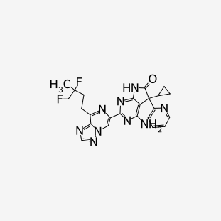 CC(F)(CF)CCc1nc(-c2nc(N)c3c(n2)NC(=O)C3(c2ccccn2)C2CC2)cn2ncnc12